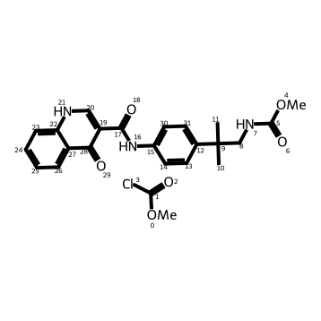 COC(=O)Cl.COC(=O)NCC(C)(C)c1ccc(NC(=O)c2c[nH]c3ccccc3c2=O)cc1